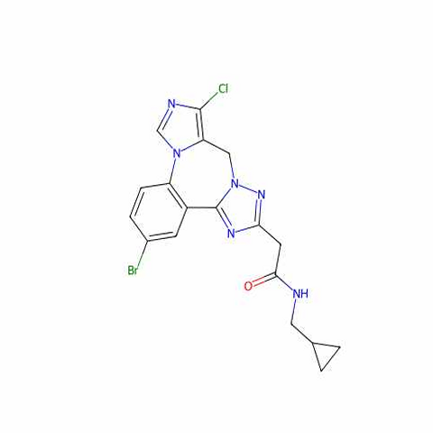 O=C(Cc1nc2n(n1)Cc1c(Cl)ncn1-c1ccc(Br)cc1-2)NCC1CC1